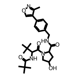 Cc1nocc1-c1ccc(CNC(=O)C2CC(O)CN2C(=O)C(NC(=O)C(C)(C)C)C(C)(C)C)cc1